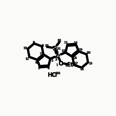 CC[O][Zr]([CH]1C=CC2=C1CCCC2)([CH]1C=CC2=C1CCCC2)=[Si](C)C.Cl